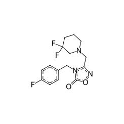 O=c1onc(CN2CCCC(F)(F)C2)n1Cc1ccc(F)cc1